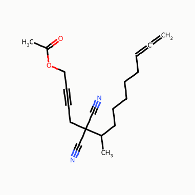 C=C=CCCCCCC(C)C(C#N)(C#N)CC#CCOC(C)=O